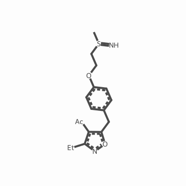 CCc1noc(Cc2ccc(OCCS(C)=N)cc2)c1C(C)=O